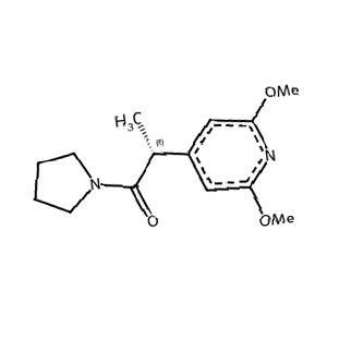 COc1cc([C@@H](C)C(=O)N2CCCC2)cc(OC)n1